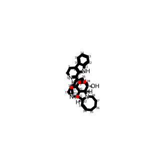 O[C@]12C=C(C3=NCCc4c3[nH]c3ccccc43)[C@@H]3CCN(CCCC/C=C/CC1)C[C@@]31C[C@@H]3/C=C\CCCCN3[C@H]12